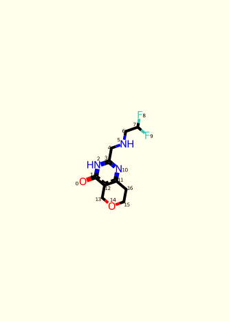 O=c1[nH]c(CNCC(F)F)nc2c1COCC2